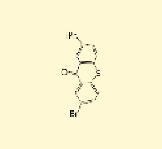 CC(C)c1ccc2sc3ccc(Br)cc3c(=O)c2c1